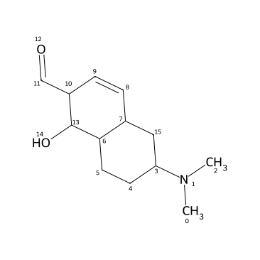 CN(C)C1CCC2C(C=CC(C=O)C2O)C1